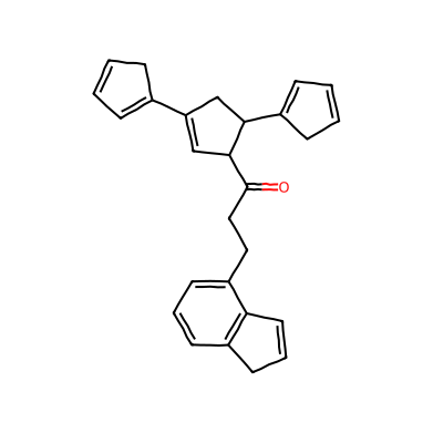 O=C(CCc1cccc2c1C=CC2)C1C=C(C2=CC=CC2)CC1C1=CC=CC1